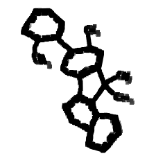 Cc1ccccc1-c1cc2c(cc1C)C(C)(C)c1c-2ccc2ccccc12